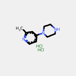 Cc1cc(N2CCNCC2)ccn1.Cl.Cl